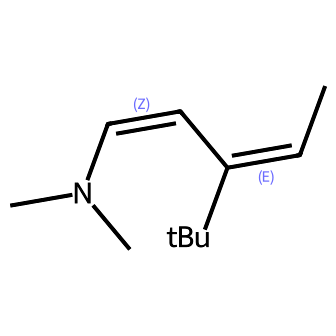 C/C=C(\C=C/N(C)C)C(C)(C)C